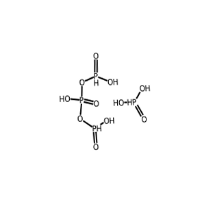 O=[PH](O)O.O=[PH](O)OP(=O)(O)O[PH](=O)O